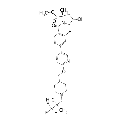 COC(=O)[C@]1(C)C[C@@H](O)CN1C(=O)c1ccc(-c2ccc(OCC3CCN(CC(C)(C)C(F)(F)F)CC3)nc2)cc1F